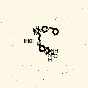 Cl.Cl.O=c1[nH]c2cc3cc(OCCCc4nnnn4C4CCN(CC5CCCCC5)CC4)ccc3nc2[nH]1